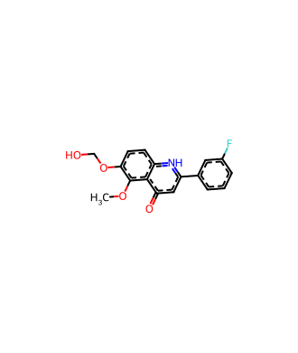 COc1c(OCO)ccc2[nH]c(-c3cccc(F)c3)cc(=O)c12